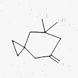 CC1(C)CC(=O)CC2(CC2)C1